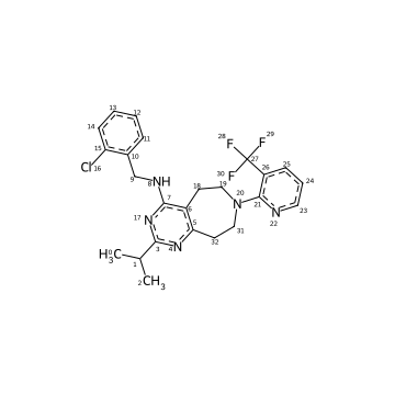 CC(C)c1nc2c(c(NCc3ccccc3Cl)n1)CCN(c1ncccc1C(F)(F)F)CC2